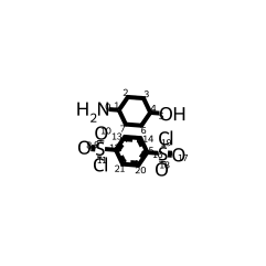 NC1CCC(O)CC1.O=S(=O)(Cl)c1ccc(S(=O)(=O)Cl)cc1